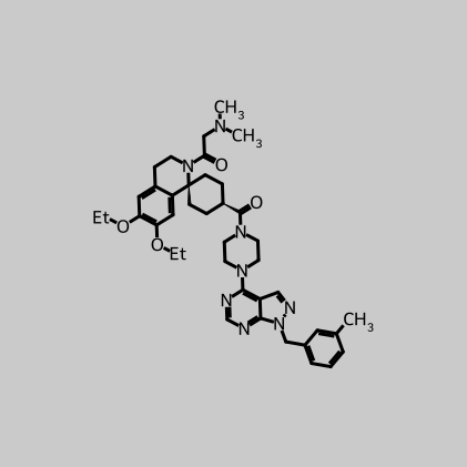 CCOc1cc2c(cc1OCC)[C@]1(CC[C@H](C(=O)N3CCN(c4ncnc5c4cnn5Cc4cccc(C)c4)CC3)CC1)N(C(=O)CN(C)C)CC2